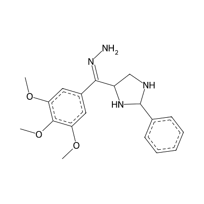 COc1cc(C(=NN)C2CNC(c3ccccc3)N2)cc(OC)c1OC